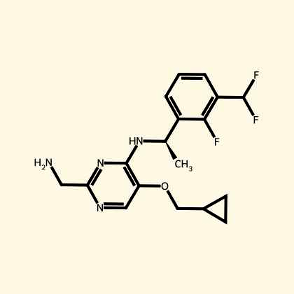 C[C@@H](Nc1nc(CN)ncc1OCC1CC1)c1cccc(C(F)F)c1F